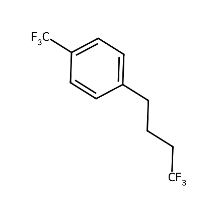 FC(F)(F)CCCc1ccc(C(F)(F)F)cc1